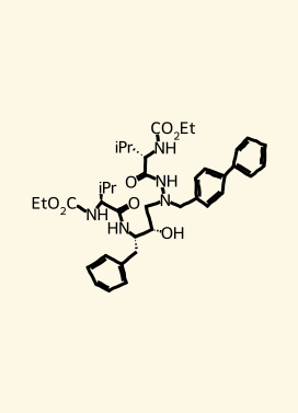 CCOC(=O)N[C@H](C(=O)N[C@@H](Cc1ccccc1)[C@@H](O)CN(Cc1ccc(-c2ccccc2)cc1)NC(=O)[C@@H](NC(=O)OCC)C(C)C)C(C)C